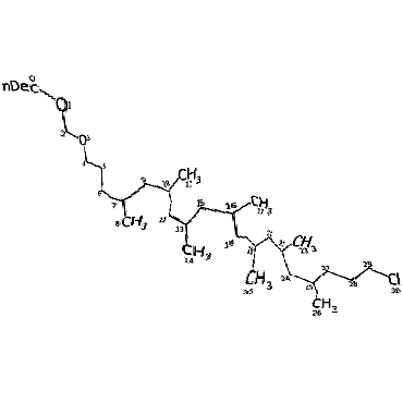 CCCCCCCCCCOCOCCCC(C)CC(C)CC(C)CC(C)CC(C)CC(C)CC(C)CCCCl